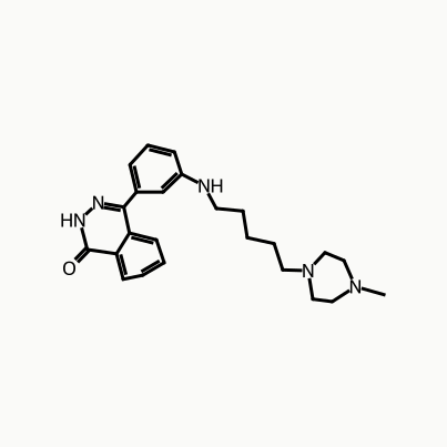 CN1CCN(CCCCCNc2cccc(-c3n[nH]c(=O)c4ccccc34)c2)CC1